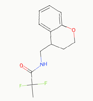 CC(F)(F)C(=O)NCC1CCOc2ccccc21